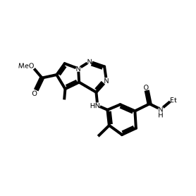 CCNC(=O)c1ccc(C)c(Nc2ncnn3cc(C(=O)OC)c(C)c23)c1